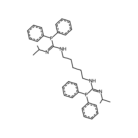 CC(C)/N=C(/NCCCCCN/C(=N/C(C)C)P(c1ccccc1)c1ccccc1)P(c1ccccc1)c1ccccc1